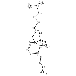 COCCC1=CC=CC(CCCCCCC(C)C)(C(=O)O)C1C